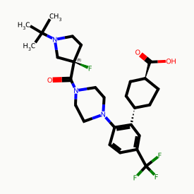 CC(C)(C)N1CC[C@](F)(C(=O)N2CCN(c3ccc(C(F)(F)F)cc3[C@H]3CC[C@H](C(=O)O)CC3)CC2)C1